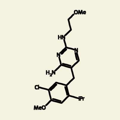 COCCNc1ncc(Cc2cc(Cl)c(OC)cc2C(C)C)c(N)n1